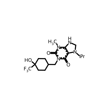 CC(C)N1CNc2c1c(=O)n(CC1CCC(O)(C(F)(F)F)CC1)c(=O)n2C